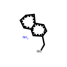 CC(C)(C)Cc1ccc2ccccc2c1.N